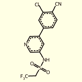 N#Cc1ccc(-c2cncc(NS(=O)(=O)CC(F)(F)F)c2)cc1Cl